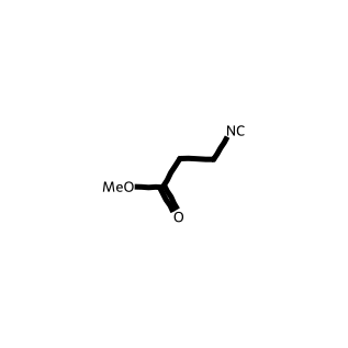 [C-]#[N+]CCC(=O)OC